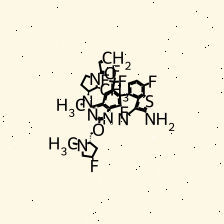 C=CC(=O)N1CC[C@H](N(C)c2nc(OC[C@@H]3C[C@@H](F)CN3C)nc3c(F)c(-c4ccc(F)c5sc(N)c(C#N)c45)c(C(F)(F)F)cc23)[C@@H]1C